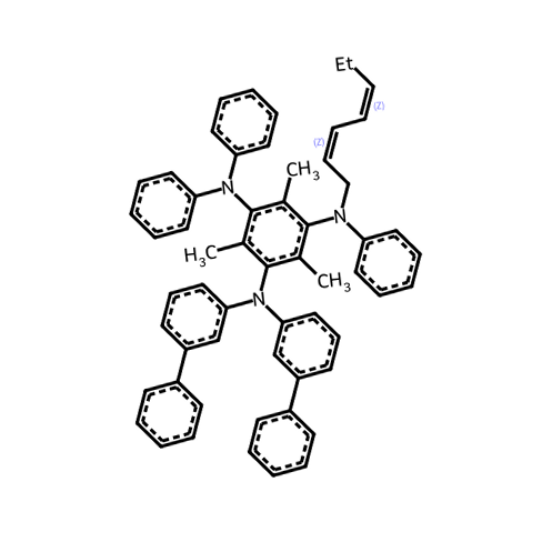 CC/C=C\C=C/CN(c1ccccc1)c1c(C)c(N(c2ccccc2)c2ccccc2)c(C)c(N(c2cccc(-c3ccccc3)c2)c2cccc(-c3ccccc3)c2)c1C